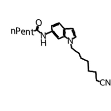 CCCCCC(=O)Nc1ccc2ccn(CCCCCCCC#N)c2c1